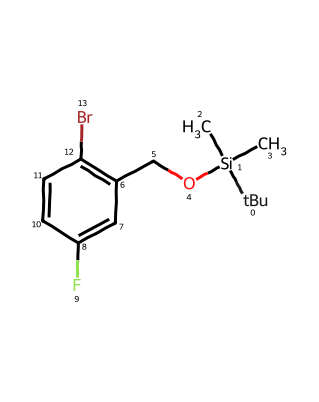 CC(C)(C)[Si](C)(C)OCc1cc(F)ccc1Br